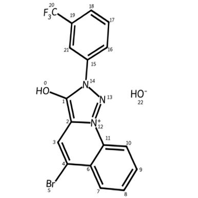 Oc1c2cc(Br)c3ccccc3[n+]2nn1-c1cccc(C(F)(F)F)c1.[OH-]